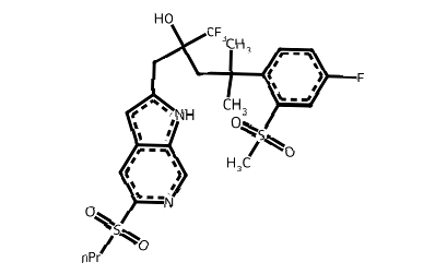 CCCS(=O)(=O)c1cc2cc(CC(O)(CC(C)(C)c3ccc(F)cc3S(C)(=O)=O)C(F)(F)F)[nH]c2cn1